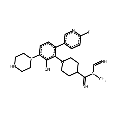 CN(C=N)C(=N)C1CCN(c2c(-c3ccc(F)nc3)ccc(N3CCNCC3)c2C#N)CC1